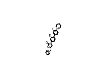 O=C1O[C@@H](Cn2ccnn2)CN1c1ccc(-c2ccc(N3CCCCC3)c(F)c2)c(F)c1